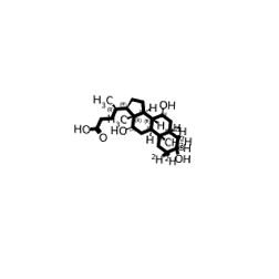 [2H]C1([2H])C[C@@]2(C)[C@H](C[C@@H](O)[C@@H]3[C@@H]2C[C@H](O)[C@]2(C)[C@@H]([C@H](C)CCC(=O)O)CC[C@@H]32)C([2H])([2H])[C@]1([2H])O